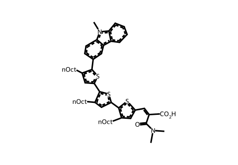 CCCCCCCCc1cc(-c2sc(-c3sc(/C=C(/C(=O)O)C(=O)N(C)C)cc3CCCCCCCC)cc2CCCCCCCC)sc1-c1ccc2c(c1)c1ccccc1n2C